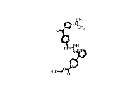 CCOC(=O)N1CC=C(c2ccc[nH]/c2=N\C(=N)Nc2ccc(C(=O)N3CC[C@H](N(C)C)C3)cc2)CC1